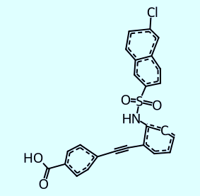 O=C(O)c1ccc(C#Cc2ccccc2NS(=O)(=O)c2ccc3cc(Cl)ccc3c2)cc1